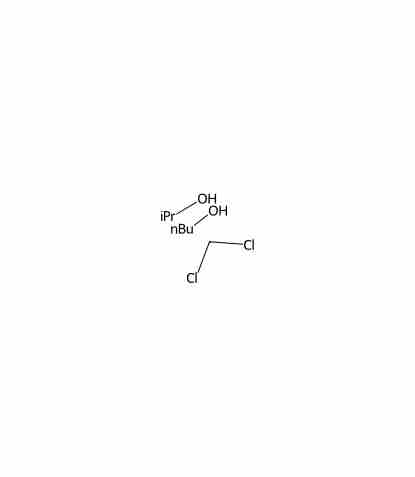 CC(C)O.CCCCO.ClCCl